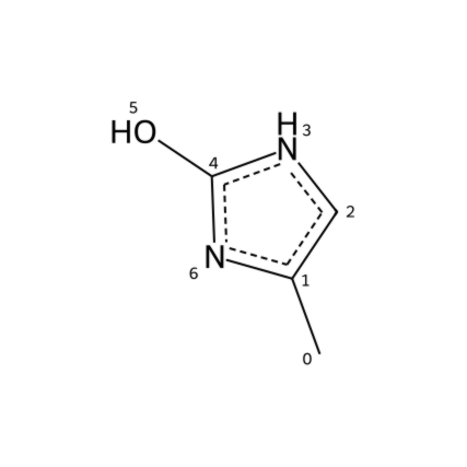 Cc1c[nH]c(O)n1